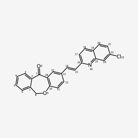 O=C1c2ccccc2COc2ccc(C=Cc3ccc4ccc(Cl)cc4n3)cc21